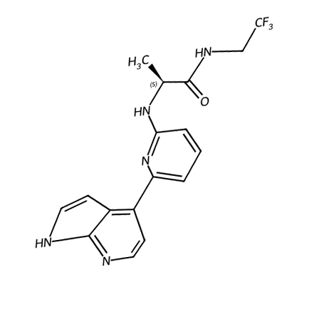 C[C@H](Nc1cccc(-c2ccnc3[nH]ccc23)n1)C(=O)NCC(F)(F)F